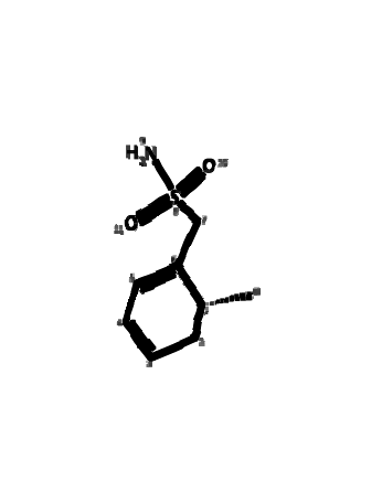 C[C@@H]1CC=CC=C1CS(N)(=O)=O